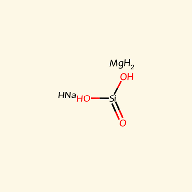 O=[Si](O)O.[MgH2].[NaH]